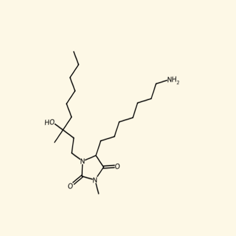 CCCCCCC(C)(O)CCN1C(=O)N(C)C(=O)C1CCCCCCCN